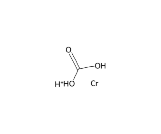 O=C(O)O.[Cr].[H+]